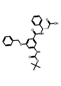 CC(C)(C)OC(=O)Nc1cc(OCc2ccccc2)cc(C(=O)N[C@@H](CC(=O)O)c2ccccc2)c1